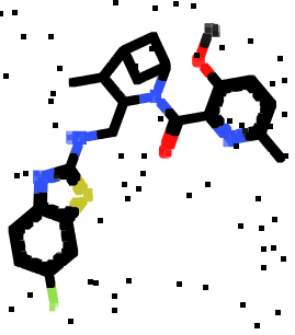 CCOc1ccc(C)nc1C(=O)N1C2CC(C2)C(C)C1CNc1nc2ccc(F)cc2s1